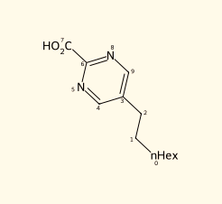 CCCCCCCCc1cnc(C(=O)O)nc1